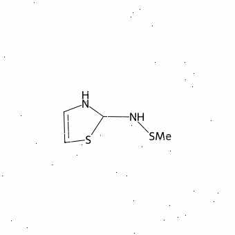 CSNC1NC=CS1